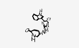 O=C1CC[C@H](Nc2ncc(Cl)c(-c3c[nH]c4ccccc34)n2)CN1